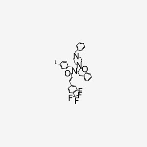 CCc1ccc(CN(C(=O)C=Cc2ccc(C(F)(F)F)c(F)c2)C(Cc2ccccc2)C(=O)N2CCN(Cc3ccccc3)CC2)cc1